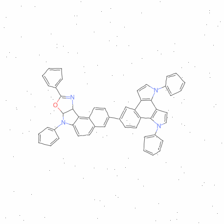 c1ccc(C2=NC3c4c(ccc5cc(-c6ccc7c(c6)c6ccn(-c8ccccc8)c6c6ccn(-c8ccccc8)c76)ccc45)N(c4ccccc4)C3O2)cc1